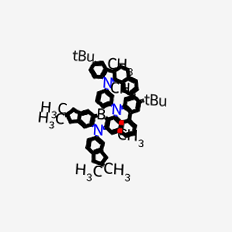 Cc1cc2c3c(c1)N(c1ccc(C(C)(C)C)cc1-c1ccccc1)c1cc(N4c5ccc(C(C)(C)C)cc5C5(C)CCc6ccccc6C45C)ccc1B3c1cc3c(cc1N2c1ccc2c(c1)CC(C)(C)C2)CC(C)(C)C3